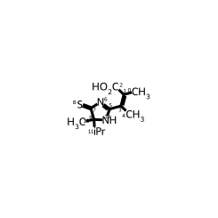 C/C(C(=O)O)=C(\C)C1=NC(=S)C(C)(C(C)C)N1